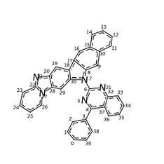 c1ccc(-c2nc(-n3c4cc5ccccc5cc4c4cc5nc6ccccn6c5cc43)nc3ccccc23)cc1